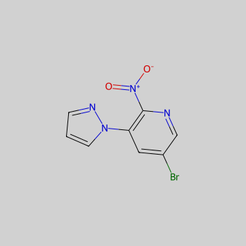 O=[N+]([O-])c1ncc(Br)cc1-n1cccn1